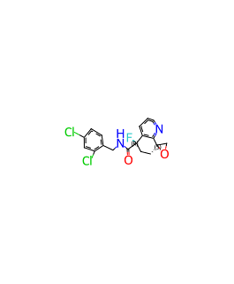 O=C(NCc1ccc(Cl)cc1Cl)[C@@]1(F)CC[C@@]2(CO2)c2ncccc21